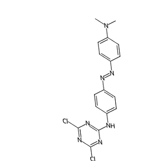 CN(C)c1ccc(N=Nc2ccc(Nc3nc(Cl)nc(Cl)n3)cc2)cc1